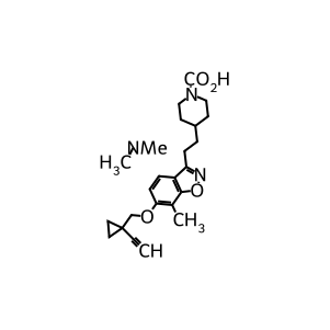 C#CC1(COc2ccc3c(CCC4CCN(C(=O)O)CC4)noc3c2C)CC1.CNC